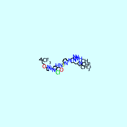 CN1CC(CCCN(Cc2nn[nH]n2)c2cccc(SNC(=O)c3ccc(-n4ccc(OCCC5(C(F)(F)F)CC5)n4)nc3Cl)n2)CC1(C)C